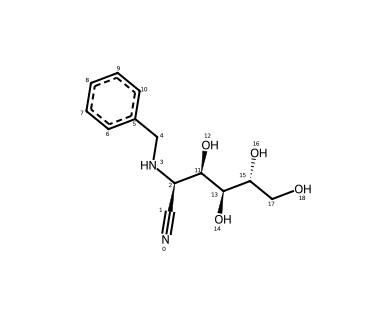 N#C[C@@H](NCc1ccccc1)[C@@H](O)[C@H](O)[C@H](O)CO